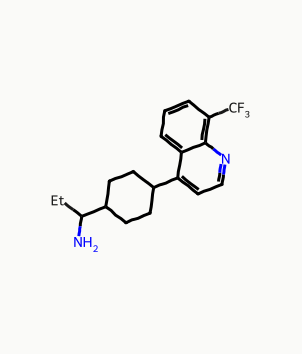 CCC(N)C1CCC(c2ccnc3c(C(F)(F)F)cccc23)CC1